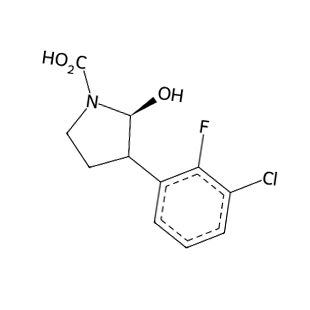 O=C(O)N1CCC(c2cccc(Cl)c2F)[C@@H]1O